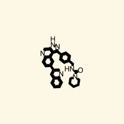 O=C(NCc1ccc(-c2n[nH]c3cnc4ccc(-c5cnc6ccccc6c5)cc4c23)cc1)N1CCCCC1